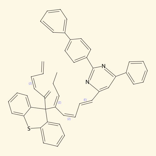 C=C/C=C\C(=C)C1(C(/C=C\C=C\c2cc(-c3ccccc3)nc(-c3ccc(-c4ccccc4)cc3)n2)=C\CC)c2ccccc2Sc2ccccc21